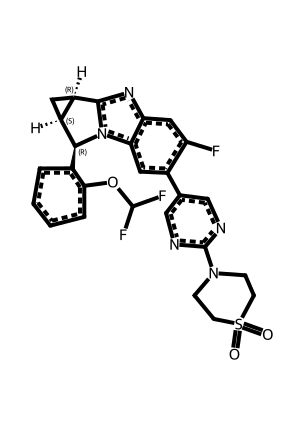 O=S1(=O)CCN(c2ncc(-c3cc4c(cc3F)nc3n4[C@@H](c4ccccc4OC(F)F)[C@H]4C[C@@H]34)cn2)CC1